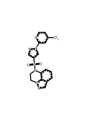 O=S(=O)(c1cnn(-c2cc(C(F)(F)F)ccn2)c1)N1CCn2ncc3cccc1c32